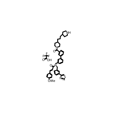 COc1ccc(C=CC(=O)N(Cc2cccc(-c3cccc(C(=O)N4CCC(CCCC5CCNCC5)CC4)c3)c2)Cc2cccc(-c3csnn3)c2)cc1.O=C(O)C(F)(F)F